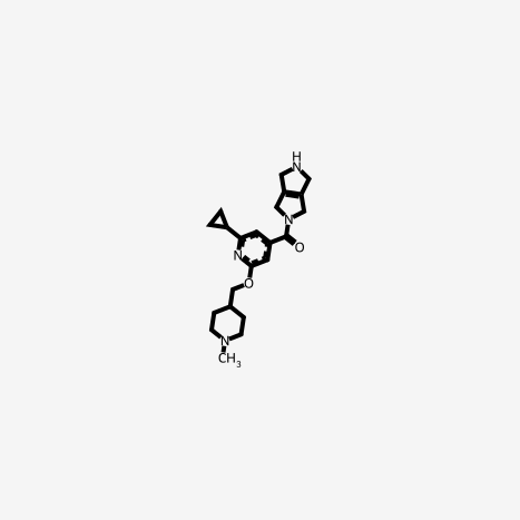 CN1CCC(COc2cc(C(=O)N3CC4=C(CNC4)C3)cc(C3CC3)n2)CC1